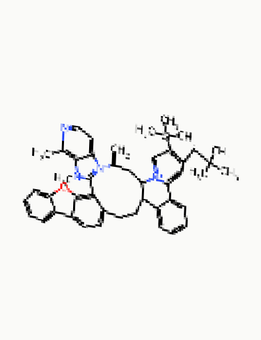 C=C1CC2C(CCc3ccc4c(oc5ccccc54)c3-c3n(C)c4c(C)nccc4[n+]31)c1ccccc1-c1cc(CC(C)(C)C)c([Si](C)(C)C)c[n+]12